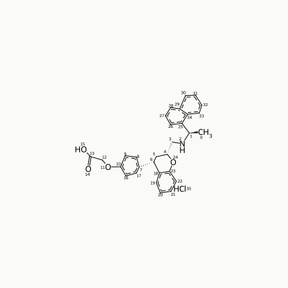 C[C@@H](NC[C@H]1C[C@@H](c2ccc(OCC(=O)O)cc2)c2ccccc2O1)c1cccc2ccccc12.Cl